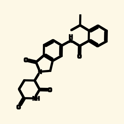 CC(C)c1ccccc1C(=O)Nc1ccc2c(c1)CN(C1CCC(=O)NC1=O)C2=O